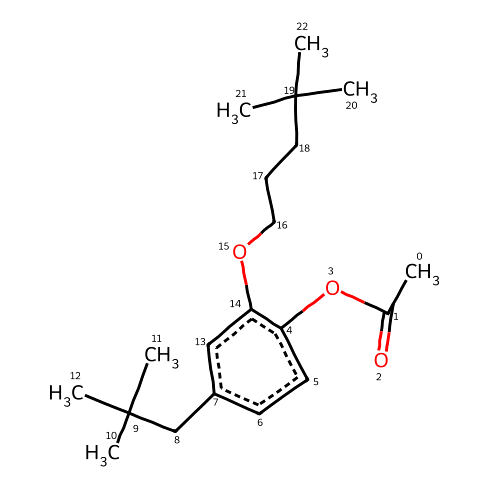 CC(=O)Oc1ccc(CC(C)(C)C)cc1OCCCC(C)(C)C